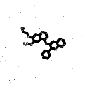 COc1cc2c(Oc3cc4cccnc4nc3-c3ccccc3)ccnc2cc1OCCO